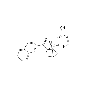 Cc1ccnc([C@]2(C)CC3CC2(C(=O)c2ccc4ccccc4c2)C3)c1